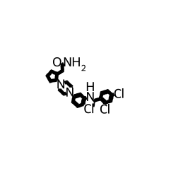 C[C@@H](Nc1cc(N2CCN(C3CCCC3CC(N)=O)CC2)ccc1Cl)c1ccc(Cl)cc1Cl